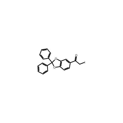 O=C(CI)c1ccc2c(c1)OC(c1ccccc1)(c1ccccc1)O2